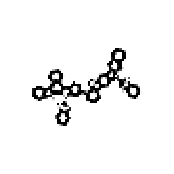 c1ccc2cc3c(cc2c1)c1cc2oc4c(-c5ccc6c7c8ccccc8c8c9ccccc9oc8c7n(-c7nc8ccccc8s7)c6c5)cccc4c2cc1n3-c1nc2ccccc2o1